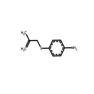 C=C(C)CSc1ccc(N)cc1